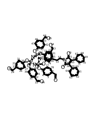 O=Cc1ccc(OP2(Oc3ccc(C=O)cc3)=NP(Oc3ccc(C=O)cc3)(Oc3ccc(C=O)cc3)=NP(Oc3ccc(C=O)cc3)(Oc3ccc(CCN4C(=O)C(c5ccccc5)=C(c5ccccc5)C4=O)cc3)=N2)cc1